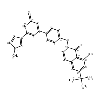 Cn1cc(-c2cc(-c3ccc(Cn4ncc5cc(C(C)(C)C)cc(F)c5c4=O)cc3)cc(=O)[nH]2)cn1